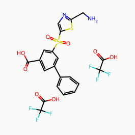 NCc1ncc(S(=O)(=O)c2cc(C(=O)O)cc(-c3ccccc3)c2)s1.O=C(O)C(F)(F)F.O=C(O)C(F)(F)F